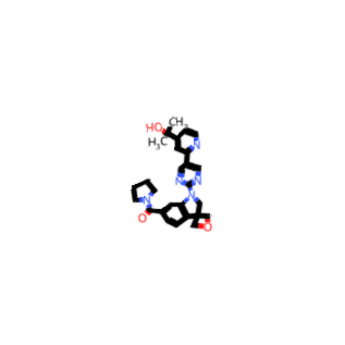 CC(C)(O)c1ccnc(-c2cnc(N3CC4(COC4)c4ccc(C(=O)N5CCCC5)cc43)nc2)c1